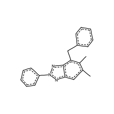 Cc1cc2nn(-c3ccccc3)nc2c(Cc2ccccc2)c1C